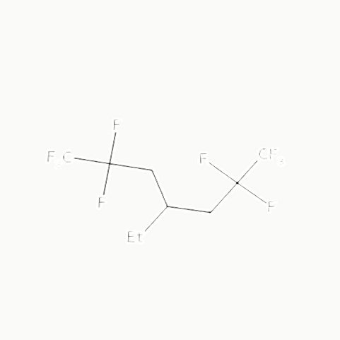 CCC(CC(F)(F)C(F)(F)F)CC(F)(F)C(F)(F)F